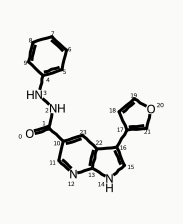 O=C(NNc1ccccc1)c1cnc2[nH]cc(-c3ccoc3)c2c1